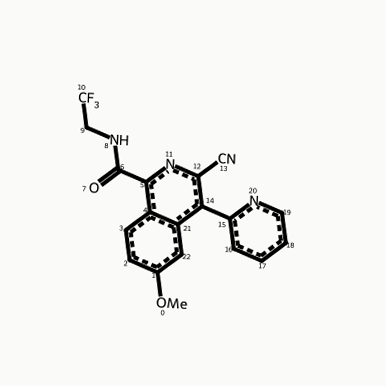 COc1ccc2c(C(=O)NCC(F)(F)F)nc(C#N)c(-c3ccccn3)c2c1